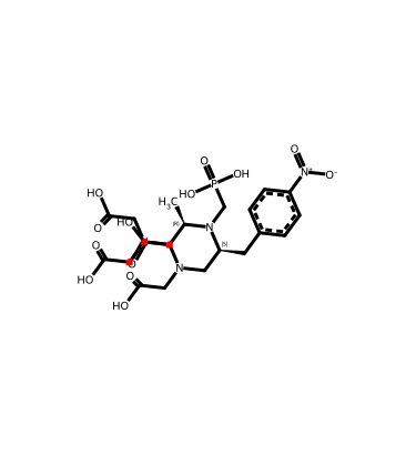 C[C@H](CN(CC(=O)O)CC(=O)O)N(CP(=O)(O)O)[C@@H](Cc1ccc([N+](=O)[O-])cc1)CN(CC(=O)O)CC(=O)O